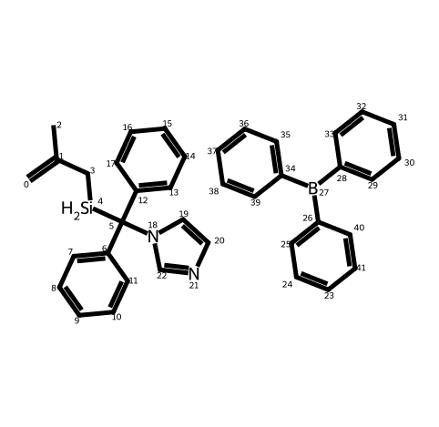 C=C(C)C[SiH2]C(c1ccccc1)(c1ccccc1)n1ccnc1.c1ccc(B(c2ccccc2)c2ccccc2)cc1